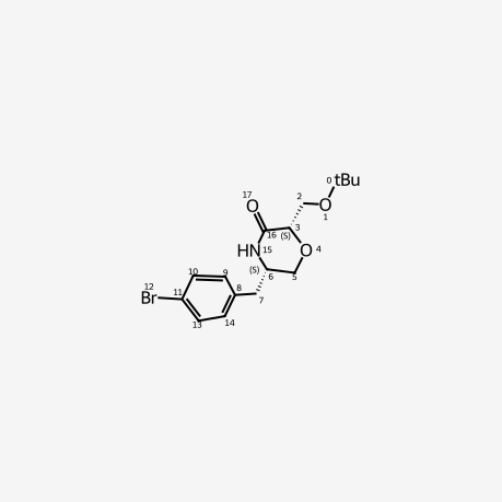 CC(C)(C)OC[C@@H]1OC[C@H](Cc2ccc(Br)cc2)NC1=O